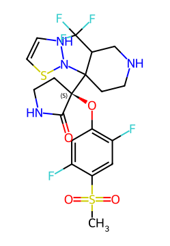 CS(=O)(=O)c1cc(F)c(O[C@]2(C3(N4NC=CS4)CCNCC3C(F)(F)F)CCNC2=O)cc1F